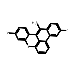 Bc1c2c3c(cccc3c3cc(Cl)ccc13)Sc1cc(Br)ccc1-2